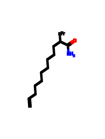 C=CCCCCCCCCC(CCC)C(N)=O